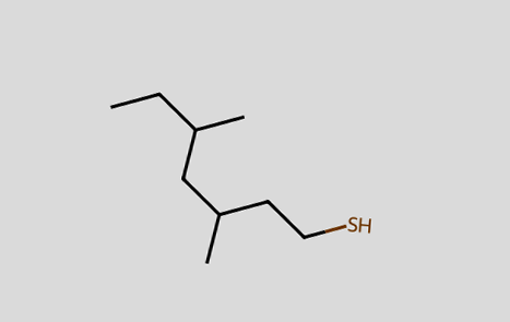 CCC(C)CC(C)CCS